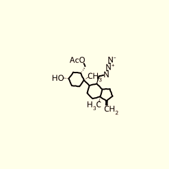 C=C1CCC2[C@H](CN=[N+]=[N-])C([C@@]3(C)CC[C@H](O)C[C@@H]3COC(C)=O)CC[C@]12C